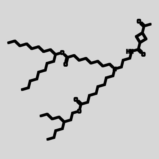 CCCCCCCCC(CCCCCCCC)OC(=O)CCCCCCCN(CCCCCCCC(=O)OCCC(CCCC)CCCC)CCCNC(=O)C1CC(C(C)=O)C1